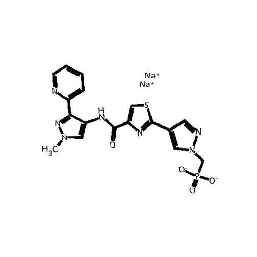 Cn1cc(NC(=O)c2csc(-c3cnn(CP(=O)([O-])[O-])c3)n2)c(-c2ccccn2)n1.[Na+].[Na+]